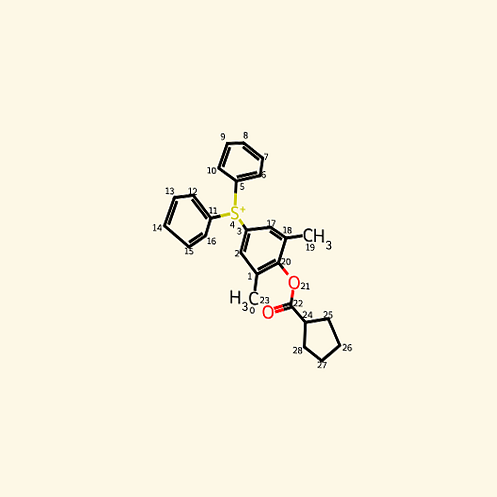 Cc1cc([S+](c2ccccc2)c2ccccc2)cc(C)c1OC(=O)C1CCCC1